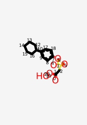 O=C(CS(=O)(=O)Oc1ccc(C2CCCCC2)cc1)OO